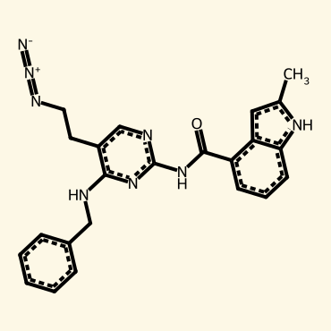 Cc1cc2c(C(=O)Nc3ncc(CCN=[N+]=[N-])c(NCc4ccccc4)n3)cccc2[nH]1